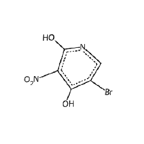 O=[N+]([O-])c1c(O)ncc(Br)c1O